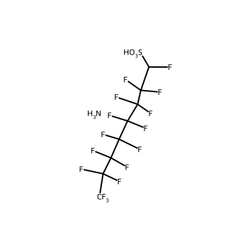 N.O=S(=O)(O)C(F)C(F)(F)C(F)(F)C(F)(F)C(F)(F)C(F)(F)C(F)(F)C(F)(F)F